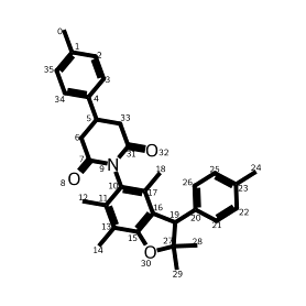 Cc1ccc(C2CC(=O)N(c3c(C)c(C)c4c(c3C)C(c3ccc(C)cc3)C(C)(C)O4)C(=O)C2)cc1